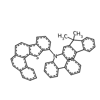 CC1(C)c2ccccc2-c2ccc(N(c3ccccc3-c3ccccc3)c3cccc4c3sc3c4ccc4ccc5ccccc5c43)cc21